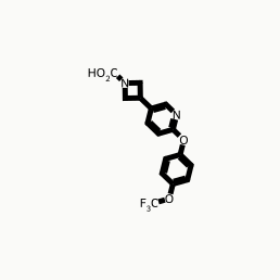 O=C(O)N1CC(c2ccc(Oc3ccc(OC(F)(F)F)cc3)nc2)C1